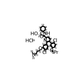 CC(C)Oc1ccc(Cl)c(-c2ccc(C(=O)NC3(C(=O)O)CCCCC3)nc2-c2ccc(Cl)c(OCCCN(C)C)c2)c1.Cl